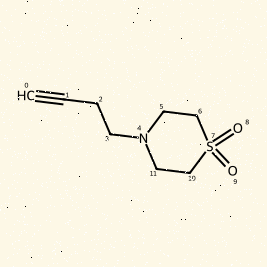 C#CCCN1CCS(=O)(=O)CC1